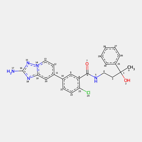 CC(O)(CCNC(=O)c1cc(-c2ccn3nc(N)nc3c2)ccc1Cl)c1ccccc1